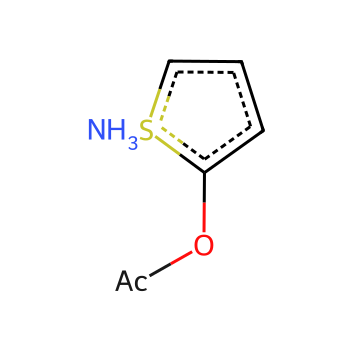 CC(=O)Oc1cccs1.N